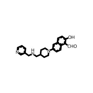 O=Cc1c(O)ccc2cc(N3CCC(CNCc4cccnc4)CC3)ccc12